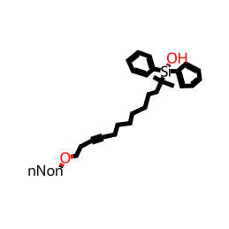 CCCCCCCCCOCCC#CCCCCCCCC(C)(C)[Si](O)(c1ccccc1)c1ccccc1